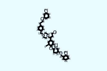 Cc1cc(C(=CC=O)N2CCN(Cc3ccc(CCOc4cccc(Cl)c4)cc3)CC2)cc(Cl)c1Oc1ccc(OCc2ccccc2Cl)cn1